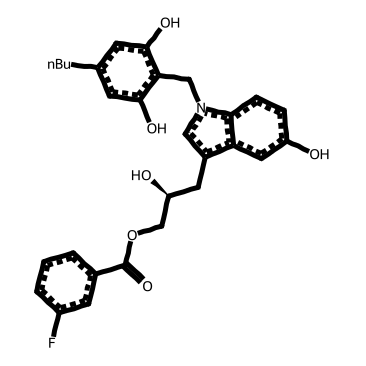 CCCCc1cc(O)c(Cn2cc(C[C@H](O)COC(=O)c3cccc(F)c3)c3cc(O)ccc32)c(O)c1